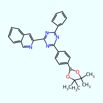 CC1(C)OB(c2ccc(-c3nc(-c4ccccc4)nc(-c4cc5ccccc5cn4)n3)cc2)OC1(C)C